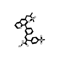 CC(C)NC(=O)/C(=C/c1cccc(-c2cc(CC(C)S(C)(=O)=O)cc3cccnc23)c1)c1ccc(S(C)(=O)=O)cc1